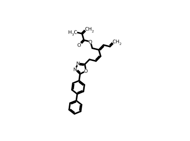 C=C/C=C(\C=C/Cc1nnc(-c2ccc(-c3ccccc3)cc2)o1)COC(=O)C(=C)C